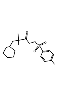 Cc1ccc(S(=O)(=O)OCC(=O)C(C)(C)CC2CCCCC2)cc1